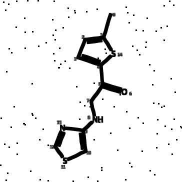 Cc1ccc(C(=O)CNc2cscn2)s1